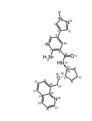 Cn1cc(-c2cnc(N)c(C(=O)N[C@H]3CCC[C@@H]3OCc3cccc4cccnc34)c2)cn1